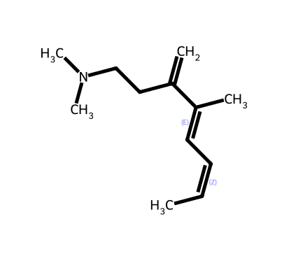 C=C(CCN(C)C)/C(C)=C/C=C\C